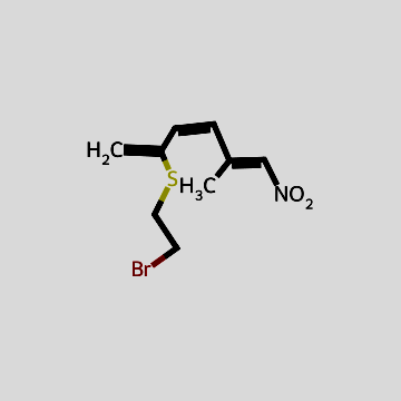 C=C(/C=C\C(C)=C\[N+](=O)[O-])SCCBr